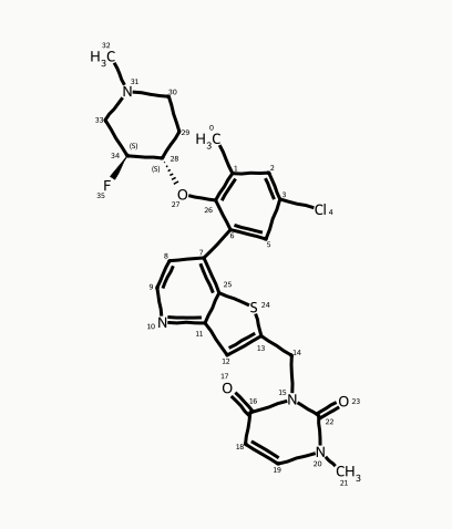 Cc1cc(Cl)cc(-c2ccnc3cc(Cn4c(=O)ccn(C)c4=O)sc23)c1O[C@H]1CCN(C)C[C@@H]1F